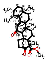 COC(=O)C1(C)C(=O)CC[C@@]2(C)C1CC[C@]1(C)[C@@H]2C(=O)C=C2[C@@H]3[C@@H](C)[C@H](C)CC[C@]3(C)CC[C@]21C